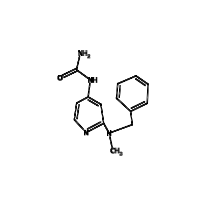 CN(Cc1ccccc1)c1cc(NC(N)=O)ccn1